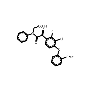 C=C(C(=O)N(CC(=O)O)c1ccccc1)c1ccc(Sc2ccccc2OC)c(Cl)c1Cl